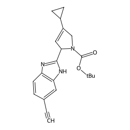 C#Cc1ccc2nc(C3C=C(C4CC4)CN3C(=O)OC(C)(C)C)[nH]c2c1